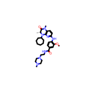 COc1cc(C(=O)NCCN2CCN(C)CC2)ccc1Nc1ccc2c(n1)N(C1CCCCCC1)[C@H](C)C(=O)N2C